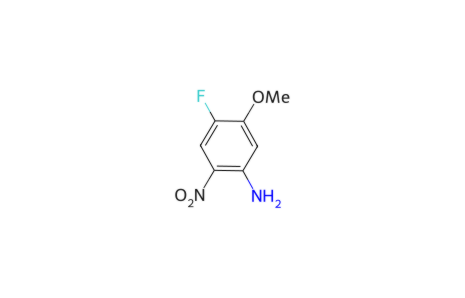 COc1cc(N)c([N+](=O)[O-])cc1F